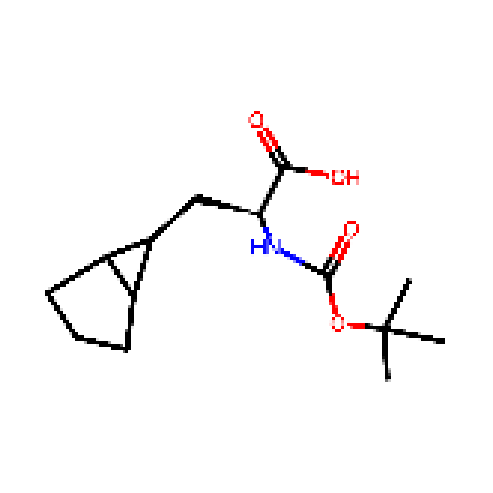 CC(C)(C)OC(=O)N[C@@H](CC1C2CCCC21)C(=O)O